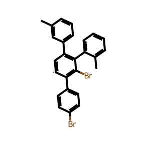 Cc1cccc(-c2c[c]c(-c3ccc(Br)cc3)c(Br)c2-c2ccccc2C)c1